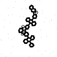 c1ccc(-c2c3ccccc3c(-c3ccc4c(c3)Oc3cccc5c3B4c3ccc(-c4c6ccccc6c(-c6ccc7oc8cc9ccccc9cc8c7c6)c6ccccc46)cc3O5)c3ccccc23)cc1